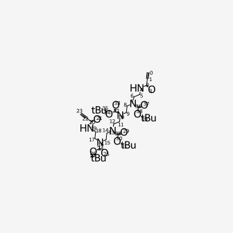 C#CC(=O)NCCN(CCN(CCN(CCN(CCNC(=O)C#C)C(=O)OC(C)(C)C)C(=O)OC(C)(C)C)C(=O)OC(C)(C)C)C(=O)OC(C)(C)C